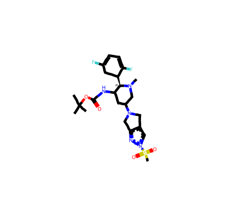 CN1CC(N2Cc3cn(S(C)(=O)=O)nc3C2)CC(NC(=O)OC(C)(C)C)[C@H]1C1CC(F)=CC=C1F